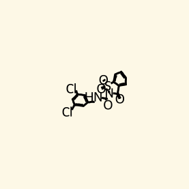 O=C(NCc1cc(Cl)cc(Cl)c1)N1C(=O)c2ccccc2S1(=O)=O